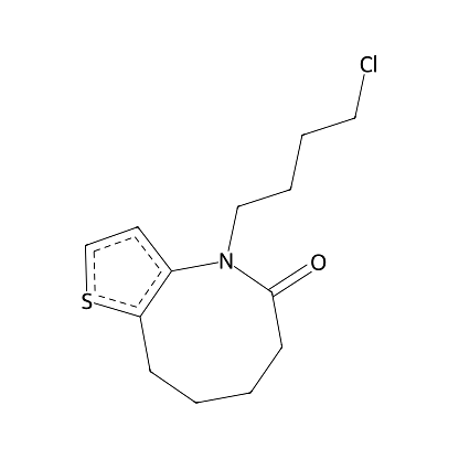 O=C1CCCCc2sccc2N1CCCCCl